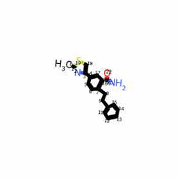 Cc1nc(-c2ccc(CCc3ccccc3)cc2)cs1.NC=O